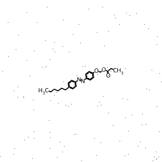 CCCCCCc1ccc(N=Nc2ccc(OCOC(=O)CC)cc2)cc1